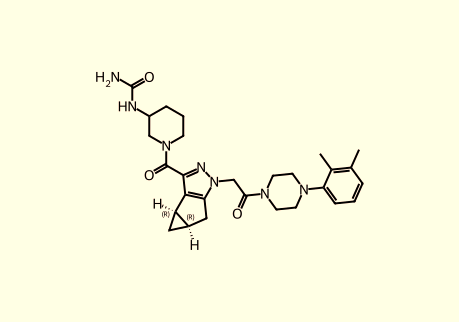 Cc1cccc(N2CCN(C(=O)Cn3nc(C(=O)N4CCCC(NC(N)=O)C4)c4c3C[C@H]3C[C@@H]43)CC2)c1C